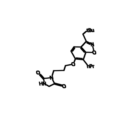 CCCc1c(OCCCN2C(=O)CNC2=O)ccc2c(CC(C)(C)C)noc12